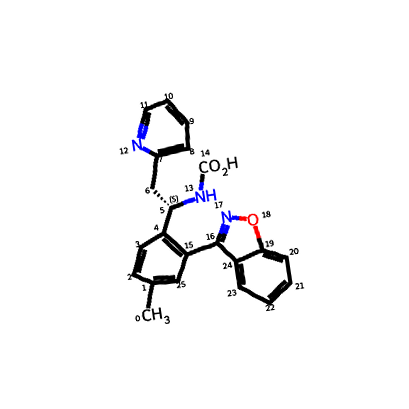 Cc1ccc([C@H](Cc2ccccn2)NC(=O)O)c(-c2noc3ccccc23)c1